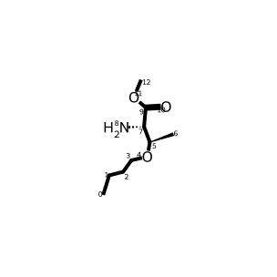 CCCCO[C@H](C)[C@H](N)C(=O)OC